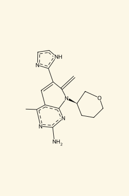 C=C1C(c2ncc[nH]2)=Cc2c(C)nc(N)nc2N1[C@@H]1CCCOC1